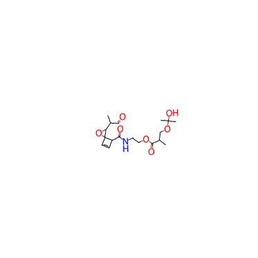 CC(COC(C)(C)O)C(=O)OCCNC(=O)C1C=CC12OC2C(C)C=O